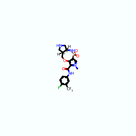 Cn1cc2c(c1C(=O)Nc1ccc(F)c(C(F)(F)F)c1)OC[C@@H]1CNC[C@@H]1NS2(=O)=O